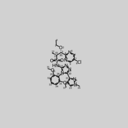 CCO[C@H](c1ncc(Cl)cn1)[C@H](C)S(=O)(=O)Nc1nnc(-c2ccn(C)n2)n1-c1c(OC)cccc1OC